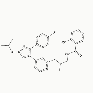 CC(CNC(=O)c1ccccc1O)Cc1cc(-c2cn(OC(C)C)nc2-c2ccc(F)cc2)ccn1